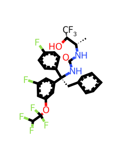 C[C@H](NC(=O)N[C@](Cc1ccccc1)(c1ccc(F)cc1)c1cc(F)cc(OC(F)(F)C(F)F)c1)[C@H](O)C(F)(F)F